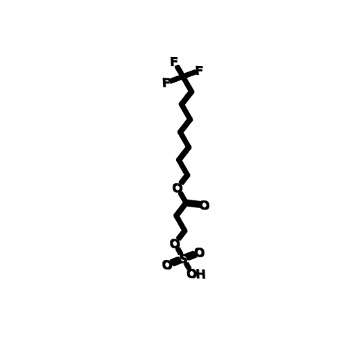 O=C(CCOS(=O)(=O)O)OCCCCCCCC(F)(F)F